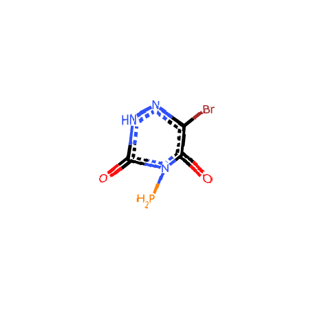 O=c1[nH]nc(Br)c(=O)n1P